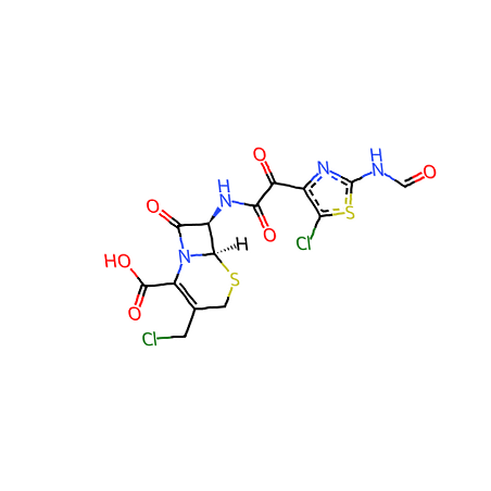 O=CNc1nc(C(=O)C(=O)N[C@@H]2C(=O)N3C(C(=O)O)=C(CCl)CS[C@H]23)c(Cl)s1